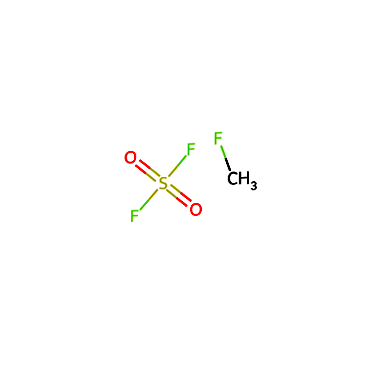 CF.O=S(=O)(F)F